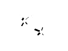 O=S(=O)([O-])C(F)(F)F.O=S(=O)([O-])C(F)(F)F.[Hg+2]